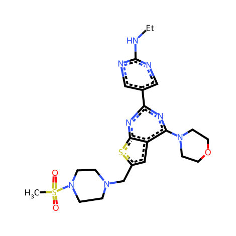 CCNc1ncc(-c2nc(N3CCOCC3)c3cc(CN4CCN(S(C)(=O)=O)CC4)sc3n2)cn1